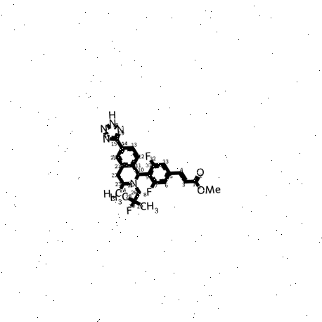 COC(=O)/C=C/c1cc(F)c(C2c3ccc(-c4nn[nH]n4)cc3CC(C)N2CC(C)(C)F)c(F)c1